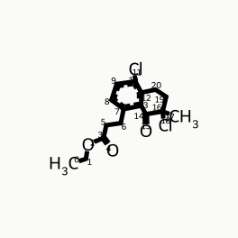 CCOC(=O)CCc1ccc(Cl)c2c1C(=O)C(C)(Cl)CC2